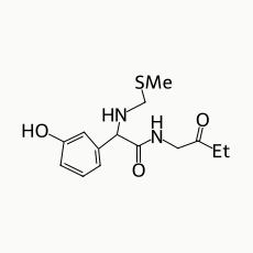 CCC(=O)CNC(=O)C(NCSC)c1cccc(O)c1